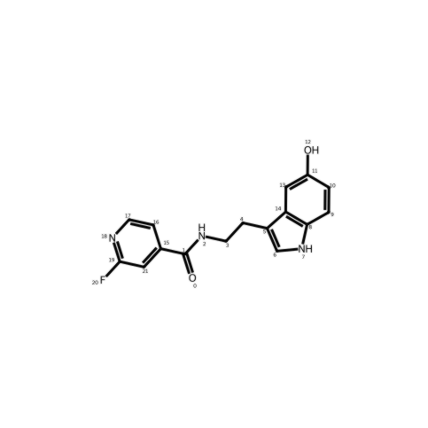 O=C(NCCc1c[nH]c2ccc(O)cc12)c1ccnc(F)c1